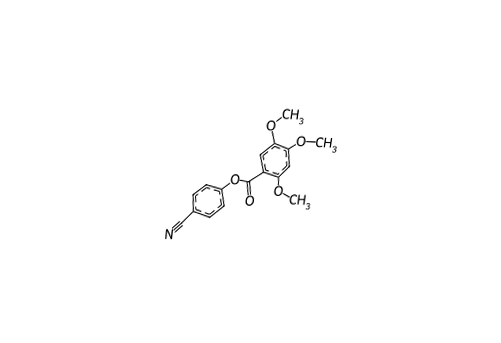 COc1cc(OC)c(C(=O)Oc2ccc(C#N)cc2)cc1OC